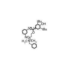 CC(C)(C)c1cc(C(=O)OCCC[N+](C)(C)Cc2ccccc2)cc(C(C)(C)C)c1O.O=[N+]([O-])c1cccc(S(=O)(=O)O)c1